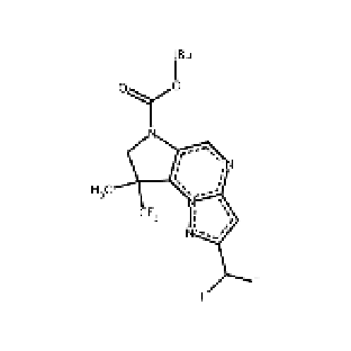 CC(C)(C)OC(=O)N1CC(C)(C(F)(F)F)c2c1cnc1cc(C(F)F)nn21